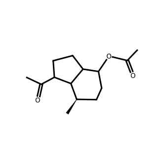 CC(=O)OC1CC[C@@H](C)C2C(C(C)=O)CCC12